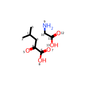 CC(C)CC(=O)C(=O)O.NCC(=O)O